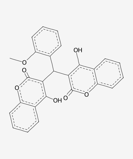 COc1ccccc1C(c1c(O)c2ccccc2oc1=O)c1c(O)c2ccccc2oc1=O